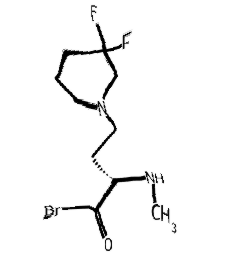 CN[C@@H](CCN1CCCC(F)(F)C1)C(=O)Br